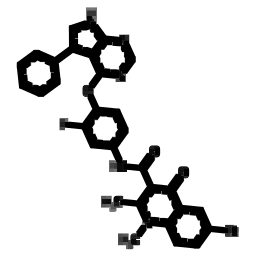 CCc1ccc2c(c1)c(=O)c(C(=O)Nc1ccc(Oc3ncnc4[nH]cc(-c5ccccc5)c34)c(F)c1)c(C)n2C